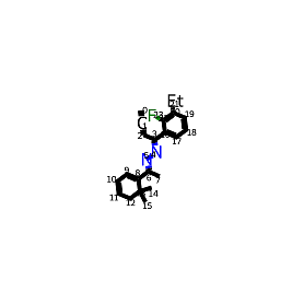 C=C=C/C(=N\N=C(/C)C1=CC=CCC1(C)C)c1cccc(CC)c1F